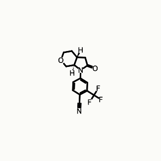 N#Cc1ccc(N2C(=O)C[C@H]3CCOC[C@@H]32)cc1C(F)(F)F